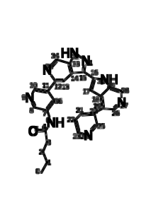 CCCCC(=O)Nc1cncc(-c2cc3c(-c4cc5c(-c6cccnc6)cncc5[nH]4)n[nH]c3cn2)c1